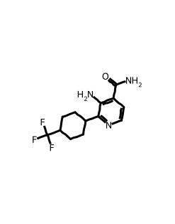 NC(=O)c1ccnc(C2CCC(C(F)(F)F)CC2)c1N